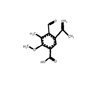 C=C(C)c1cc(C(=O)O)c(OC)c(C)c1C=O